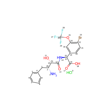 Cl.N[C@H](Cc1ccccc1)[C@H](O)C(=O)N[C@H](C(=O)O)c1ccc(Br)c(OC(F)(F)F)c1